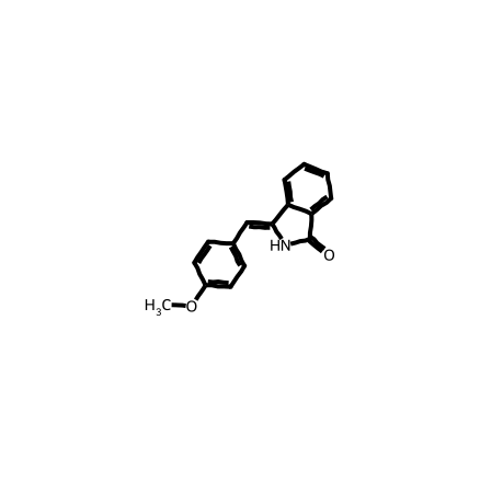 COc1ccc(C=C2NC(=O)c3ccccc32)cc1